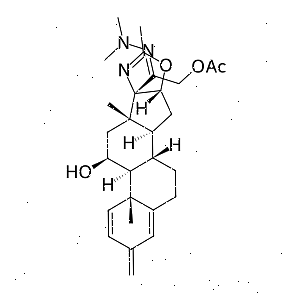 C=C1C=C[C@@]2(C)C(=C1)CC[C@@H]1[C@@H]2[C@@H](O)C[C@@]2(C)[C@H]1C[C@H]1OC(C)=N[C@]12/C(COC(C)=O)=N\N(C)C